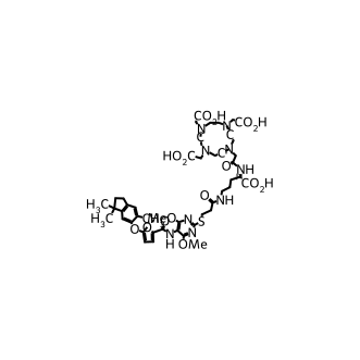 COc1nc(SCCC(=O)NCCC[C@@H](NC(=O)CN2CCN(CC(=O)O)CCN(CC(=O)O)CCN(CC(=O)O)CC2)C(=O)O)nc(OC)c1NC(=O)c1ccc(Oc2cc3c(cc2C)CCC3(C)C)o1